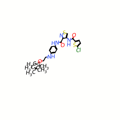 CC(C)(C)[Si](C)(C)OCCNc1ccc(NC(=O)c2nscc2NC(=O)c2ccc(Cl)s2)cc1